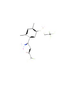 Cc1cc(C)c([S+]([O-])CC(F)(F)F)cc1-c1cc(C(F)F)on1